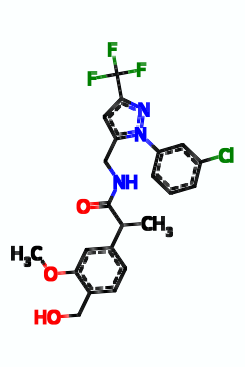 COc1cc(C(C)C(=O)NCc2cc(C(F)(F)F)nn2-c2cccc(Cl)c2)ccc1CO